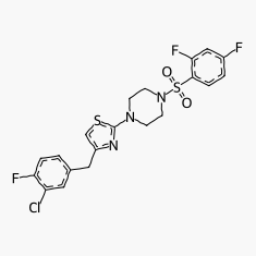 O=S(=O)(c1ccc(F)cc1F)N1CCN(c2nc(Cc3ccc(F)c(Cl)c3)cs2)CC1